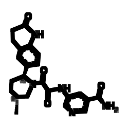 C[C@@H]1CC[C@@H](c2ccc3c(c2)CCC(=O)N3)N(C(=O)C(=O)Nc2cncc(C(N)=O)c2)C1